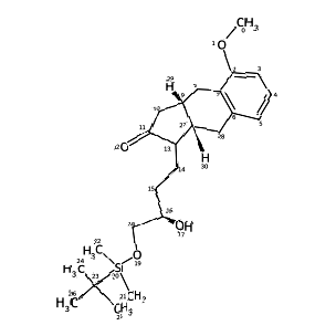 COc1cccc2c1C[C@H]1CC(=O)C(CC[C@@H](O)CO[Si](C)(C)C(C)(C)C)[C@H]1C2